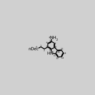 CCCCCCCCCCCCc1cc(N)cc2c1[nH]c1ccccc12